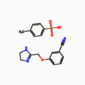 Cc1ccc(S(=O)(=O)O)cc1.N#Cc1cccc(OCC2=NCCN2)c1